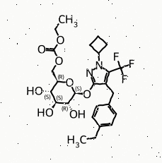 CCOC(=O)OC[C@H]1O[C@@H](Oc2nn(C3CCC3)c(C(F)(F)F)c2Cc2ccc(CC)cc2)[C@H](O)[C@@H](O)[C@@H]1O